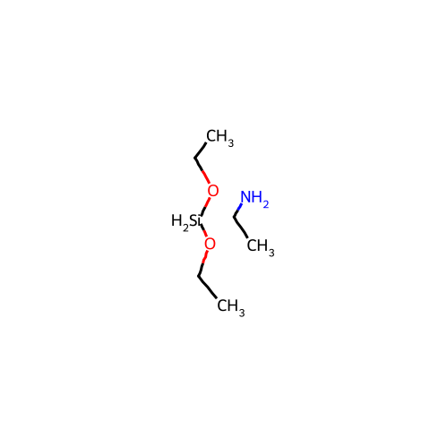 CCN.CCO[SiH2]OCC